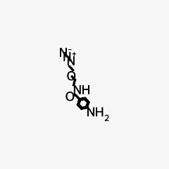 [N-]=[N+]=NCCOCCNC(=O)c1ccc(N)cc1